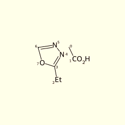 CC(=O)O.CCc1nnco1